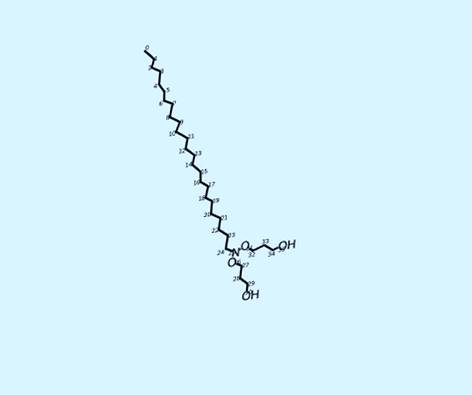 CCCCCCCCCCCCCCCCCCCCCCCCCN(OCCCO)OCCCO